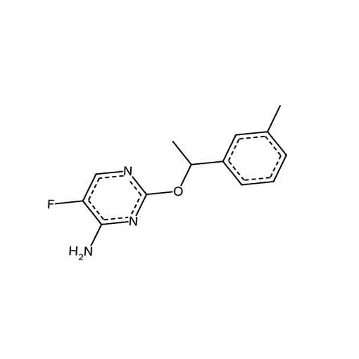 Cc1cccc(C(C)Oc2ncc(F)c(N)n2)c1